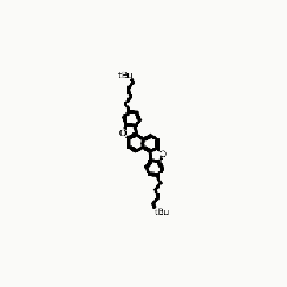 CC(C)(C)CCCCc1ccc2c(c1)oc1ccc3c(ccc4oc5cc(CCCCC(C)(C)C)ccc5c43)c12